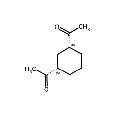 CC(=O)[C@@H]1CCC[C@H](C(C)=O)C1